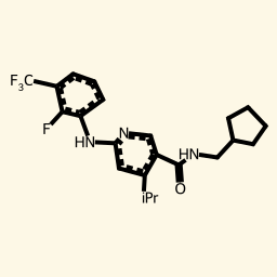 CC(C)c1cc(Nc2cccc(C(F)(F)F)c2F)ncc1C(=O)NCC1CCCC1